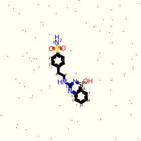 NS(=O)(=O)c1ccc(CCNc2nc3ccccc3[si](O)n2)cc1